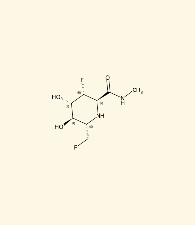 CNC(=O)[C@H]1N[C@H](CF)[C@@H](O)[C@H](O)[C@@H]1F